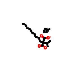 CCCCCCCCCC(C(=O)[O-])(C(=O)[O-])C(C)C.[Na+].[Na+]